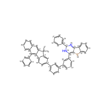 CC1(C)c2cc(-c3cccc(-c4cccc(C5=c6sc7ccccc7c6=NC(c6ccccc6)N5)c4)c3)ccc2-c2c1cc1ccccc1c2-c1ccccc1